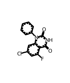 O=c1[nH]c(=O)n(-c2ccccc2)c2cc(Cl)cc(F)c12